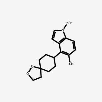 CCCn1ccc2c(C3CCC4(CCOO4)CC3)c(C#N)ccc21